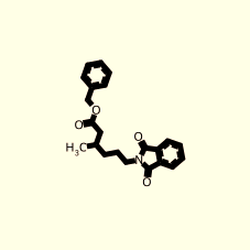 CC(CCCN1C(=O)c2ccccc2C1=O)CC(=O)OCc1ccccc1